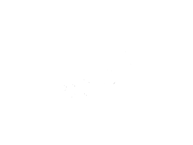 CCc1cc(NC(=O)Cc2ccc(-c3ccc(Cl)cc3)cc2)n(C)n1